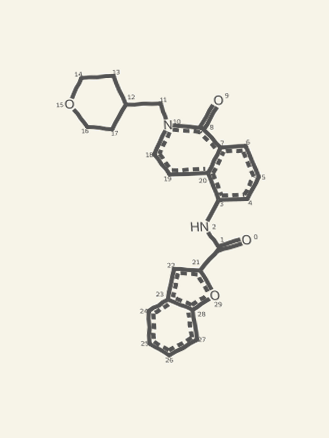 O=C(Nc1cccc2c(=O)n(CC3CCOCC3)ccc12)c1cc2ccccc2o1